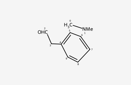 CNC.O=CCc1ccccc1